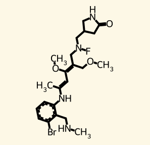 CNCc1c(Br)cccc1N/C(C)=C/C(OC)=C(\COC)CN(F)CC1CNC(=O)C1